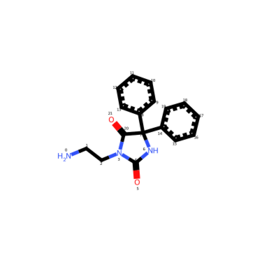 NCCN1C(=O)NC(c2ccccc2)(c2ccccc2)C1=O